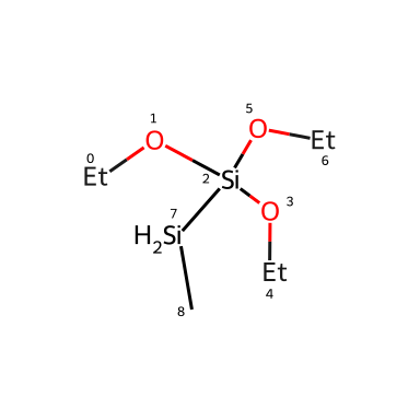 CCO[Si](OCC)(OCC)[SiH2]C